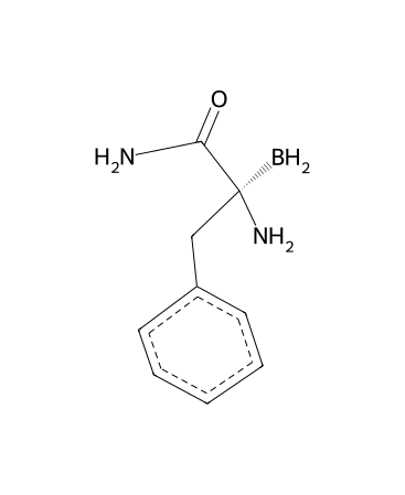 B[C@](N)(Cc1ccccc1)C(N)=O